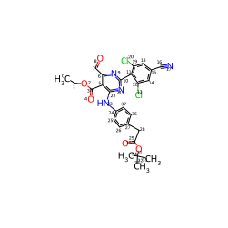 CCOC(=O)c1c(C=O)nc(-c2c(Cl)cc(C#N)cc2Cl)nc1Nc1ccc(CC(=O)OC(C)(C)C)cc1